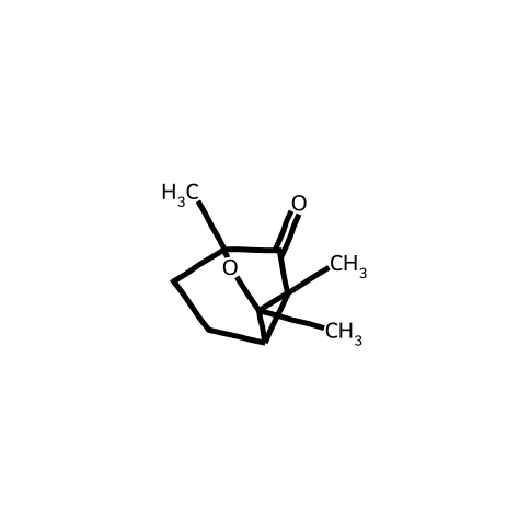 CC12CCC(CC1=O)C(C)(C)O2